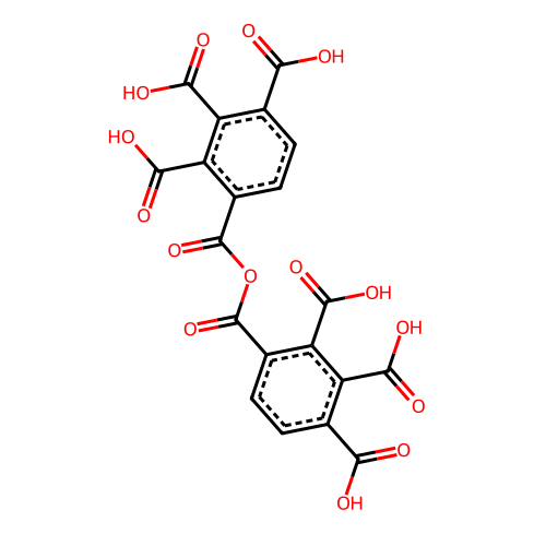 O=C(O)c1ccc(C(=O)OC(=O)c2ccc(C(=O)O)c(C(=O)O)c2C(=O)O)c(C(=O)O)c1C(=O)O